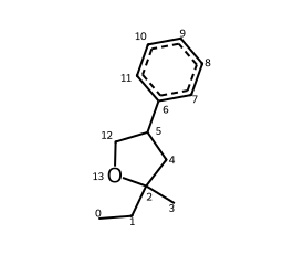 CCC1(C)CC(c2ccccc2)CO1